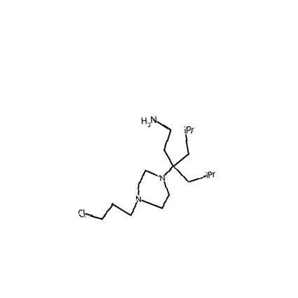 CC(C)CC(CCN)(CC(C)C)N1CCN(CCCCl)CC1